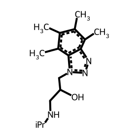 Cc1c(C)c(C)c2c(nnn2CC(O)CNC(C)C)c1C